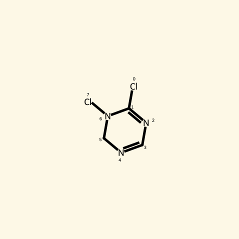 ClC1=NC=NCN1Cl